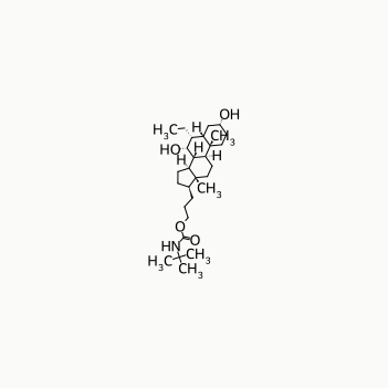 CC[C@H]1[C@@H](O)[C@@H]2[C@H](CC[C@]3(C)[C@@H](CCCOC(=O)NC(C)(C)C)CC[C@@H]23)[C@@]2(C)CC[C@@H](O)C[C@@H]12